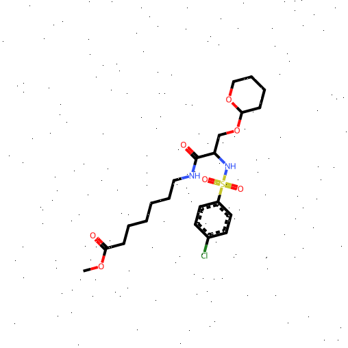 COC(=O)CCCCCCNC(=O)C(COC1CCCCO1)NS(=O)(=O)c1ccc(Cl)cc1